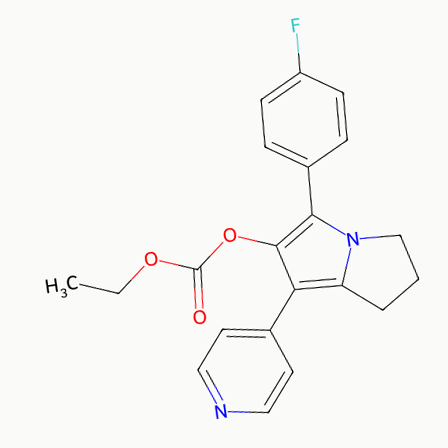 CCOC(=O)Oc1c(-c2ccncc2)c2n(c1-c1ccc(F)cc1)CCC2